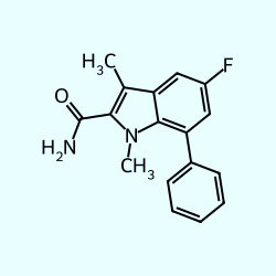 Cc1c(C(N)=O)n(C)c2c(-c3ccccc3)cc(F)cc12